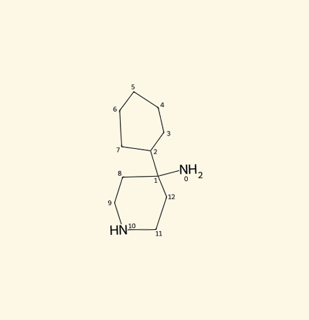 NC1(C2CCCCC2)CCNCC1